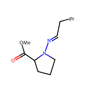 COC(=O)C1CCCN1N=CCC(C)C